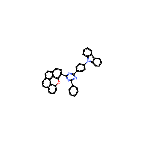 c1ccc(-c2nc(-c3ccc(-n4c5ccccc5c5ccccc54)cc3)nc(-c3ccc4ccc5ccc6cccc7c6c5c4c3O7)n2)cc1